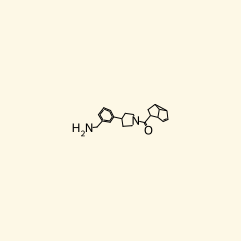 NCc1cccc(C2CCN(C(=O)C3CC4C5C=CC3C54)CC2)c1